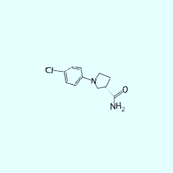 NC(=O)[C@H]1CCN(c2ccc(Cl)cc2)C1